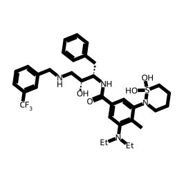 CCN(CC)c1cc(C(=O)N[C@@H](Cc2ccccc2)[C@H](O)CNCc2cccc(C(F)(F)F)c2)cc(N2CCCCS2(O)O)c1C